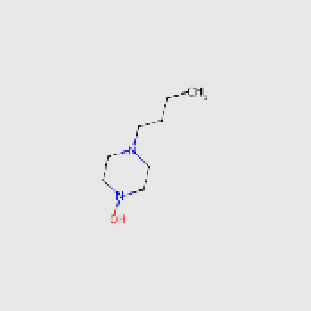 CCCCN1CCN(O)CC1